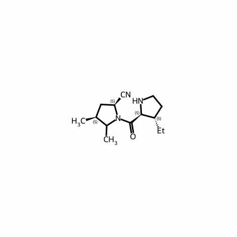 CC[C@H]1CCN[C@@H]1C(=O)N1C(C)[C@@H](C)C[C@H]1C#N